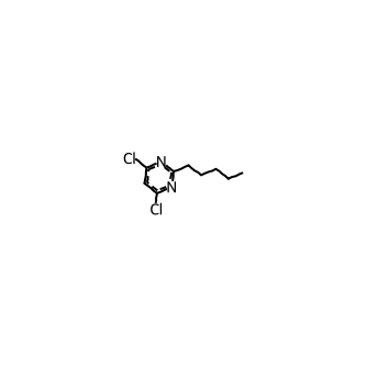 CCCCCc1nc(Cl)cc(Cl)n1